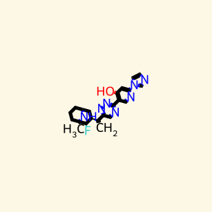 C=C(c1cnc(-c2cnc(-n3ccnc3)cc2O)nn1)[C@@H]1CC2CCC[C@](C)(N2)[C@H]1F